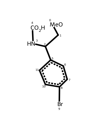 COCC(NC(=O)O)c1ccc(Br)cc1